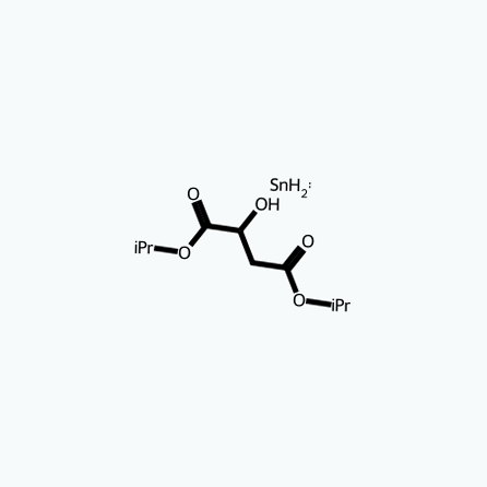 CC(C)OC(=O)CC(O)C(=O)OC(C)C.[SnH2]